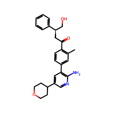 Cc1cc(-c2cc(C3CCOCC3)cnc2N)ccc1C(=O)C[C@H](CO)c1ccccc1